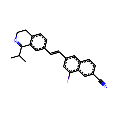 CC(C)C1=NCCc2ccc(/C=C/c3cc(I)c4cc(C#N)ccc4c3)cc21